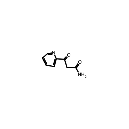 NC(=O)CC(=O)c1ccccn1